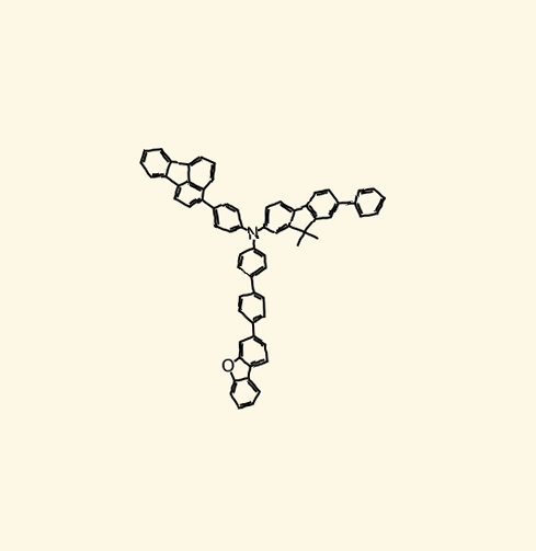 CC1(C)c2cc(-c3ccccc3)ccc2-c2ccc(N(c3ccc(-c4ccc(-c5ccc6c(c5)oc5ccccc56)cc4)cc3)c3ccc(-c4ccc5c6c(cccc46)-c4ccccc4-5)cc3)cc21